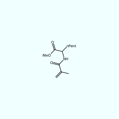 C=C(C)C(=O)NC(CCCCC)C(=O)OC